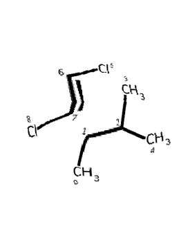 CCC(C)C.ClC=CCl